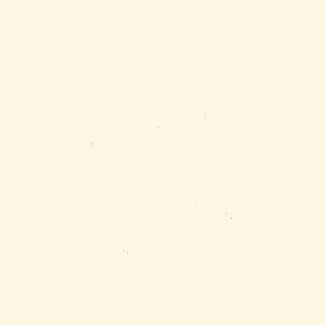 CN(C)CCCC(O)(C1=CCC(F)CC1)c1ccc(C#N)cc1CO